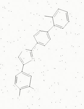 Cc1ccccc1-c1ccc(-c2nc(-c3ccc(Cl)c(Cl)c3)cs2)cc1